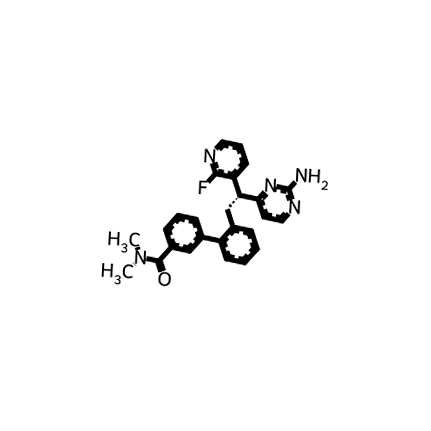 CN(C)C(=O)c1cccc(-c2ccccc2C[C@@H](c2ccnc(N)n2)c2cccnc2F)c1